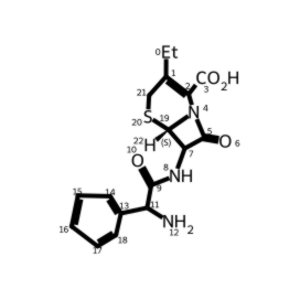 CCC1=C(C(=O)O)N2C(=O)C(NC(=O)C(N)c3ccccc3)[C@@H]2SC1